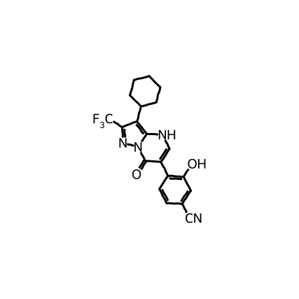 N#Cc1ccc(-c2c[nH]c3c(C4CCCCC4)c(C(F)(F)F)nn3c2=O)c(O)c1